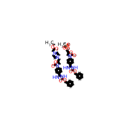 CCOC(=O)CN1CCN(CC2CN(c3ccc(C(=N)NC(=O)OCc4ccccc4)cc3)C(=O)O2)CC1.CS(=O)(=O)OCC1CN(c2ccc(C(=N)NC(=O)OCc3ccccc3)cc2)C(=O)O1